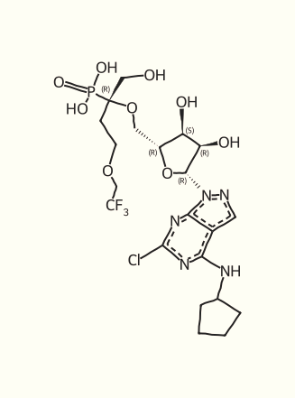 O=P(O)(O)[C@@](CO)(CCOCC(F)(F)F)OC[C@H]1O[C@@H](n2ncc3c(NC4CCCC4)nc(Cl)nc32)[C@H](O)[C@@H]1O